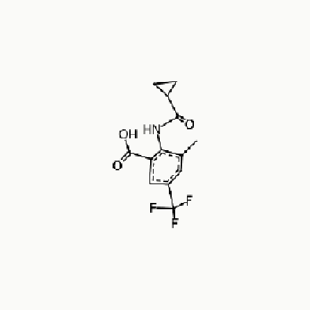 Cc1cc(C(F)(F)F)cc(C(=O)O)c1NC(=O)C1CC1